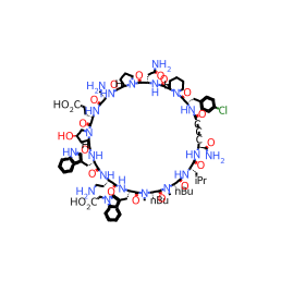 CCCC[C@H]1C(=O)N(C)[C@@H](CCCC)C(=O)N[C@@H](CC(C)C)C(=O)N[C@H](C(N)=O)CCCC(=O)N[C@@H](Cc2ccc(Cl)cc2)C(=O)N2CCCC[C@H]2C(=O)N[C@@H](CC(N)=O)C(=O)N2CCC[C@H]2C(=O)N[C@@H](CN)C(=O)N[C@@H](CCC(=O)O)C(=O)N2C[C@H](O)C[C@H]2C(=O)N[C@@H](Cc2c[nH]c3ccccc23)C(=O)N[C@@H](CCN)C(=O)N[C@@H](Cc2cn(CC(=O)O)c3ccccc23)C(=O)N1C